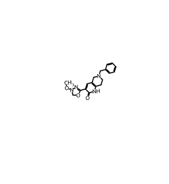 CON1COC(c2cc3c([nH]c2=O)CCN(Cc2ccccc2)C3)=N1